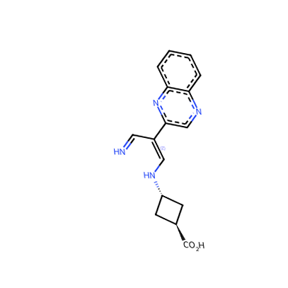 N=C/C(=C\N[C@H]1C[C@H](C(=O)O)C1)c1cnc2ccccc2n1